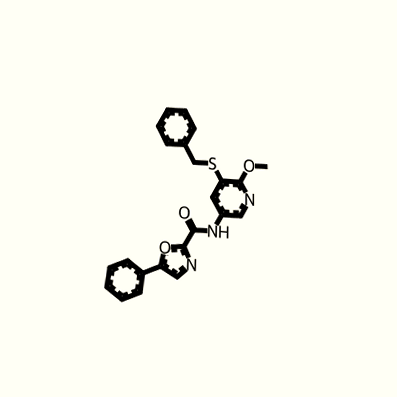 COc1ncc(NC(=O)c2ncc(-c3ccccc3)o2)cc1SCc1ccccc1